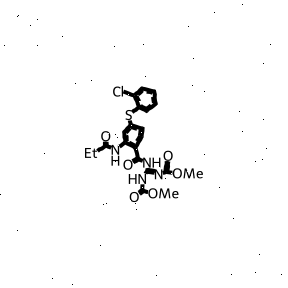 CCC(=O)Nc1cc(Sc2ccccc2Cl)ccc1C(=O)NC(=NC(=O)OC)NC(=O)OC